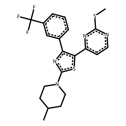 CSc1nccc(-c2sc(N3CCC(C)CC3)nc2-c2cccc(C(F)(F)F)c2)n1